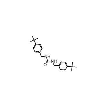 CC(C)(C)c1ccc(CNC(=O)NCc2ccc(C(C)(C)C)cc2)cc1